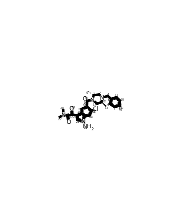 C[C@@H]1CN(Cc2ccc(F)cc2)[C@@H](C)CN1C(=O)c1cc2c(C(=O)C(=O)N(C)C)cn(N)c2cc1Cl